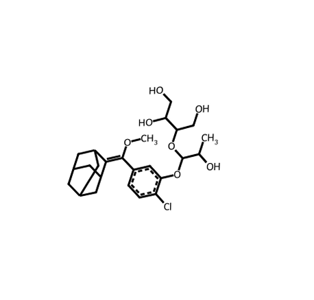 COC(=C1C2CC3CC(C2)CC1C3)c1ccc(Cl)c(OC(OC(CO)C(O)CO)C(C)O)c1